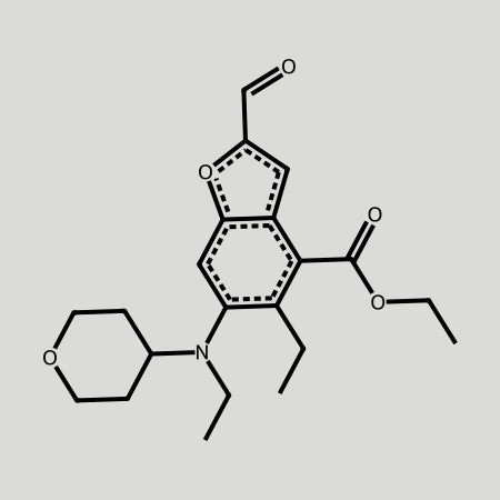 CCOC(=O)c1c(CC)c(N(CC)C2CCOCC2)cc2oc(C=O)cc12